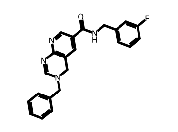 O=C(NCc1cccc(F)c1)c1cnc2c(c1)CN(Cc1ccccc1)C=N2